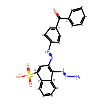 NN=Nc1c(/N=N/c2ccc(C(=O)c3ccccc3)cc2)cc(S(=O)(=O)O)c2ccccc12